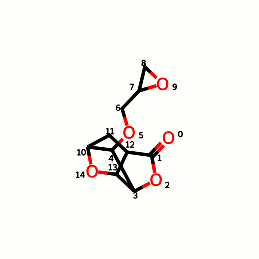 O=C1OC2C(OCC3CO3)C3CC1C2O3